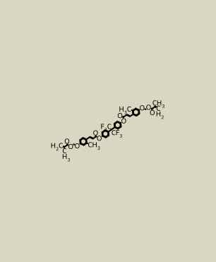 C=C(C)C(=O)OCOc1ccc(C=CC(=O)Oc2ccc(C(c3ccc(OC(=O)C=Cc4ccc(OCOC(=O)C(=C)C)cc4C)cc3)(C(F)(F)F)C(F)(F)F)cc2)c(C)c1